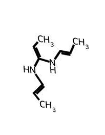 CC=CNC(=CC)NC=CC